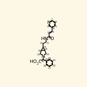 O=C(/C=C/c1cccnc1)NCCC1C2CN(C(C(=O)O)c3ccccc3)CC12